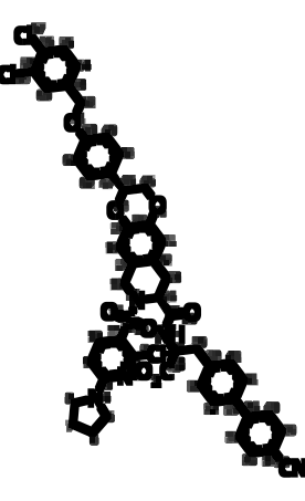 Cc1nc(N2CCCC2)ccc1S(=O)(=O)N1Cc2cc3c(cc2C[C@H]1C(=O)NC(Cc1ccc(-c2ccc(C#N)cc2)cc1)C(=O)O)OC[C@H](c1ccc(OCc2ccc(Cl)c(Cl)c2)cc1)O3